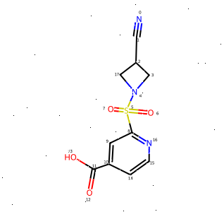 N#CC1CN(S(=O)(=O)c2cc(C(=O)O)ccn2)C1